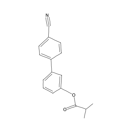 CC(C)C(=O)Oc1cccc(-c2ccc(C#N)cc2)c1